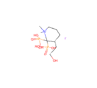 C[N+]1(C)CCCC(CCO)C1(P(=O)(O)O)P(=O)(O)O.[I-]